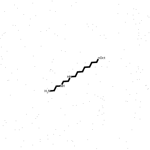 CCCCCCCCCCCCCCCNCCNCCN